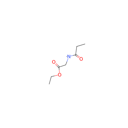 CCOC(=O)C[N]C(=O)CC